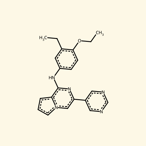 CCOc1ccc(Nc2nc(-c3cncnc3)cn3cccc23)cc1CC